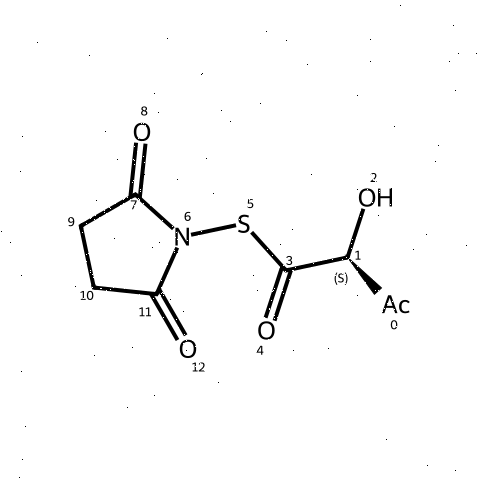 CC(=O)[C@H](O)C(=O)SN1C(=O)CCC1=O